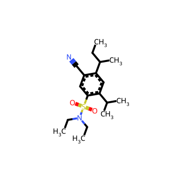 CCC(C)c1cc(C(C)C)c(S(=O)(=O)N(CC)CC)cc1C#N